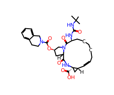 CC(C)(C)NC(=O)N[C@H]1CCCCC/C=C\[C@@H]2C[C@@]2(C(=O)O)NC(=O)[C@@H]2C[C@@H](OC(=O)N3CCc4ccccc4C3)CN2C1=O